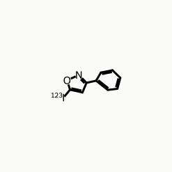 [123I]c1cc(-c2ccccc2)no1